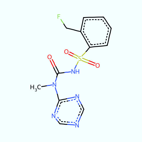 CN(C(=O)NS(=O)(=O)c1ccccc1CF)c1ncncn1